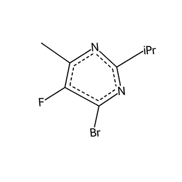 Cc1nc(C(C)C)nc(Br)c1F